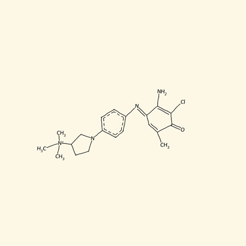 CC1=CC(=Nc2ccc(N3CCC([N+](C)(C)C)C3)cc2)C(N)=C(Cl)C1=O